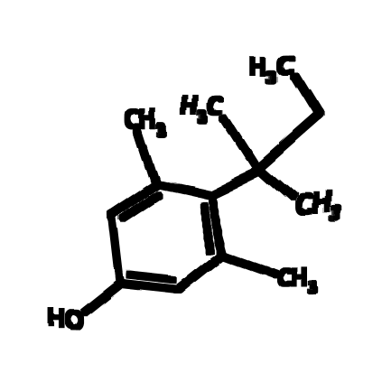 CCC(C)(C)c1c(C)cc(O)cc1C